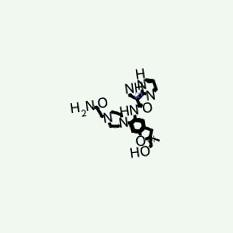 C[C@]1(CO)Cc2cc(NC(=O)/C(C=N)=C3\N=CC=CN3)c(N3CCN(CC(N)=O)CC3)cc2O1